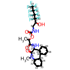 CC(OC(=O)NCC(O)C(F)(F)C(F)(F)C(F)(F)C(F)(F)F)C(=O)NC1C(=O)N(C)c2ccccc2-c2ccccc21